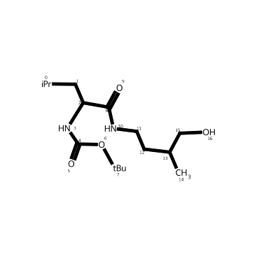 CC(C)CC(NC(=O)OC(C)(C)C)C(=O)NCCC(C)CO